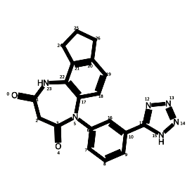 O=C1CC(=O)N(c2cccc(-c3nnn[nH]3)c2)c2ccc3c(c2N1)CCC3